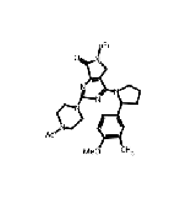 CCCN1Cc2c(nc(N3CCN(C(C)=O)CC3)nc2N2CCCC2c2ccc(OC)c(C)c2)C1=O